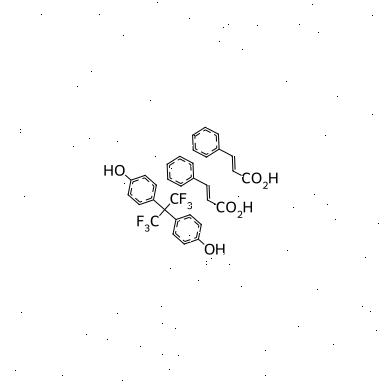 O=C(O)C=Cc1ccccc1.O=C(O)C=Cc1ccccc1.Oc1ccc(C(c2ccc(O)cc2)(C(F)(F)F)C(F)(F)F)cc1